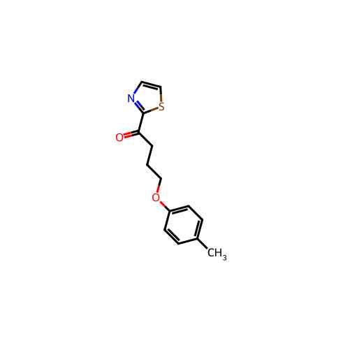 Cc1ccc(OCCCC(=O)c2nccs2)cc1